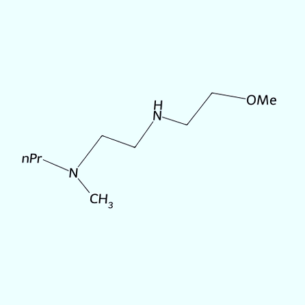 CCCN(C)CCNCCOC